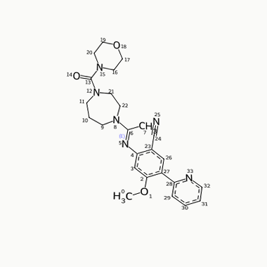 COc1cc(/N=C(\C)N2CCCN(C(=O)N3CCOCC3)CC2)c(C#N)cc1-c1ccccn1